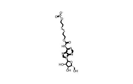 O=C(Nc1ncnc2c1ncn2C1O[C@H](CO)[C@@H](O)[C@H]1O)OCCSSCCO[N+](=O)[O-]